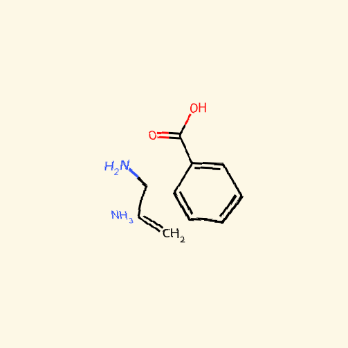 C=CCN.N.O=C(O)c1ccccc1